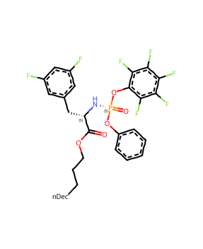 CCCCCCCCCCCCCOC(=O)[C@H](Cc1cc(F)cc(F)c1)N[P@](=O)(Oc1ccccc1)Oc1c(F)c(F)c(F)c(F)c1F